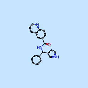 O=C(NC(c1ccccc1)c1cc[nH]c1)c1ccc2ncccc2c1